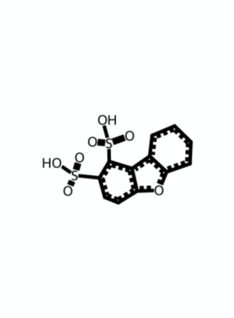 O=S(=O)(O)c1ccc2oc3ccccc3c2c1S(=O)(=O)O